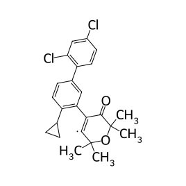 CC1(C)[C]=C(c2cc(-c3ccc(Cl)cc3Cl)ccc2C2CC2)C(=O)C(C)(C)O1